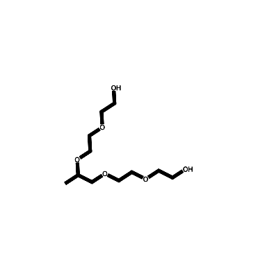 CC(COCCOCCO)OCCOCCO